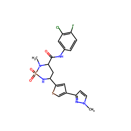 CN1C(C(=O)Nc2ccc(F)c(Cl)c2)CC(c2cc(-c3ccn(C)n3)cs2)NS1(=O)=O